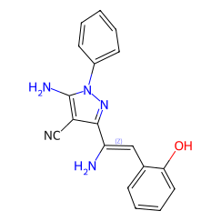 N#Cc1c(/C(N)=C/c2ccccc2O)nn(-c2ccccc2)c1N